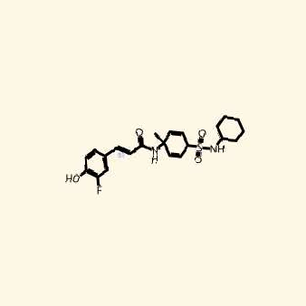 CC1(NC(=O)/C=C/c2ccc(O)c(F)c2)C=CC(S(=O)(=O)NC2CCCCC2)C=C1